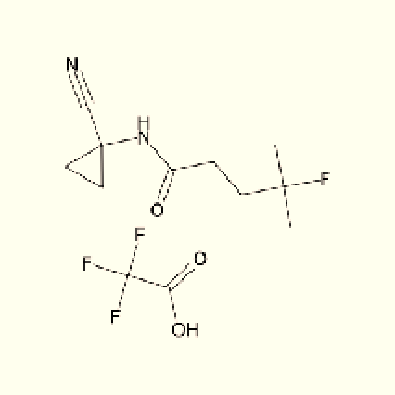 CC(C)(F)CCC(=O)NC1(C#N)CC1.O=C(O)C(F)(F)F